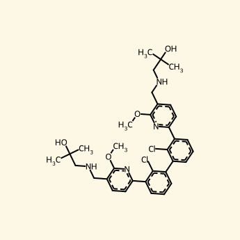 COc1nc(-c2cccc(-c3cccc(-c4ccc(CNCC(C)(C)O)c(OC)n4)c3Cl)c2Cl)ccc1CNCC(C)(C)O